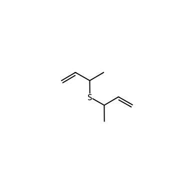 C=CC(C)SC(C)C=C